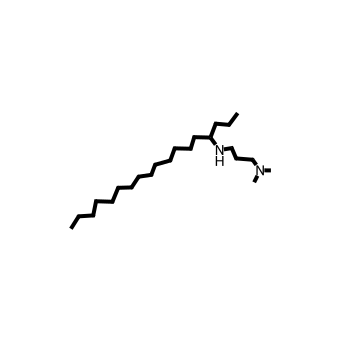 CCCCCCCCCCCCCCC(CCC)NCCCN(C)C